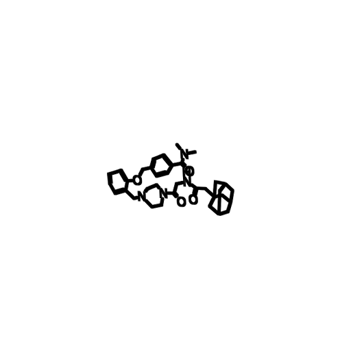 CN(C)C(=O)c1ccc(COc2ccccc2CN2CCN(C(=O)CNC(=O)CC34CC5CC(CC(C5)C3)C4)CC2)cc1